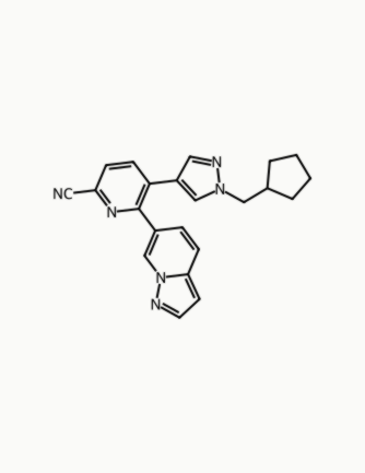 N#Cc1ccc(-c2cnn(CC3CCCC3)c2)c(-c2ccc3ccnn3c2)n1